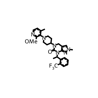 COc1nccc(C)c1N1CCC(N2Cc3cn(C)nc3N(C(C)c3ccccc3C(F)(F)F)C2=O)CC1